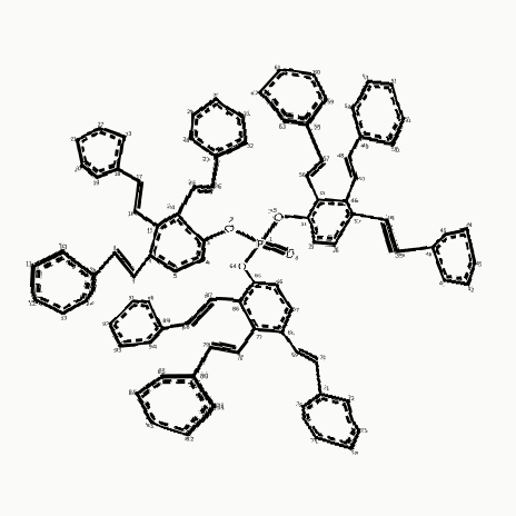 O=P(Oc1ccc(C=Cc2ccccc2)c(C=Cc2ccccc2)c1C=Cc1ccccc1)(Oc1ccc(C=Cc2ccccc2)c(C=Cc2ccccc2)c1C=Cc1ccccc1)Oc1ccc(C=Cc2ccccc2)c(C=Cc2ccccc2)c1C=Cc1ccccc1